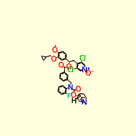 COc1ccc([C@@H](Cc2c(Cl)c[n+]([O-])cc2Cl)OC(=O)c2cccc(CN(C(=O)O[C@H]3CN4CCC3CC4)c3ccccc3F)c2)cc1OCC1CC1